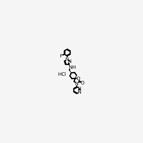 Cl.O=C1O[C@]2(CC[C@H](CNc3ccn(-c4ccccc4F)n3)CC2)CN1c1cccnn1